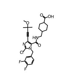 COC(C)(C)C#Cc1nc(Cl)n(Cc2ccc(F)c(F)c2)c1C(=O)NCC1CCC(C(=O)O)CC1